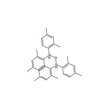 Cc1ccc([SiH](O[SiH](c2ccc(C)cc2C)c2ccc(C)cc2C)c2ccc(C)cc2C)c(C)c1